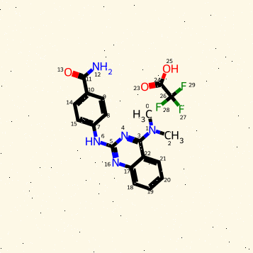 CN(C)c1nc(Nc2ccc(C(N)=O)cc2)nc2ccccc12.O=C(O)C(F)(F)F